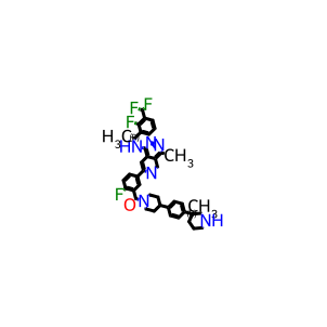 Cc1nnc(N[C@H](C)c2cccc(C(F)F)c2F)c2cc(-c3ccc(F)c(C(=O)N4CCC(c5ccc([C@@]6(C)CCCNC6)cc5)CC4)c3)ncc12